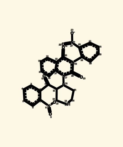 O=C(c1ccccc1[N+](=O)[O-])C1CNCCN1n1c(=O)n(-c2ccccc2[N+](=O)[O-])c(=O)c2ccccc21